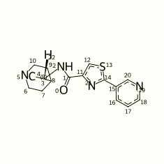 O=C(N[C@H]1CN2CCC1CC2)c1csc(-c2cccnc2)n1